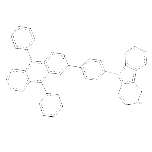 C1=Cc2c(c3ccccc3n2-c2ccc(-c3ccc4c(-c5ccccc5)c5ccccc5c(-c5ccccc5)c4c3)cn2)CN1